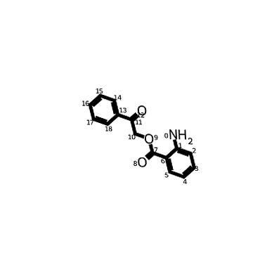 Nc1ccccc1C(=O)OCC(=O)c1ccccc1